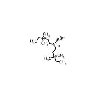 CC[N+](C)(C)CCN(C)CC[N+](C)(C)CC.[Br-].[Br-]